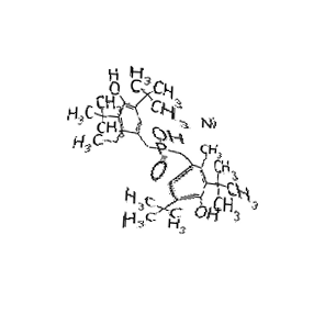 CCc1c(CP(=O)(O)Cc2cc(C(C)(C)C)c(O)c(C(C)(C)C)c2CC)cc(C(C)(C)C)c(O)c1C(C)(C)C.[Ni]